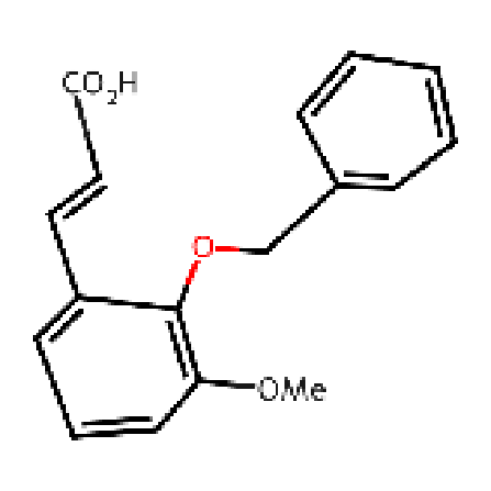 COc1cccc(C=CC(=O)O)c1OCc1ccccc1